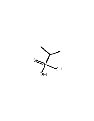 CC(C)P(O)(=S)S